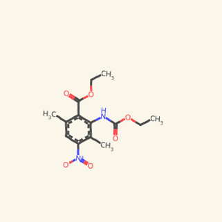 CCOC(=O)Nc1c(C)c([N+](=O)[O-])cc(C)c1C(=O)OCC